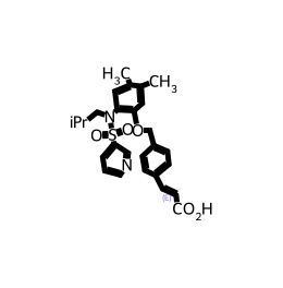 Cc1cc(OCc2ccc(/C=C/C(=O)O)cc2)c(N(CC(C)C)S(=O)(=O)c2cccnc2)cc1C